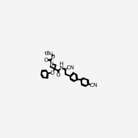 CC(C)(C)OC(=O)N1CC(Oc2ccccc2)(C(=O)N[C@H](C#N)Cc2ccc(-c3ccc(C#N)cc3)cc2)C1